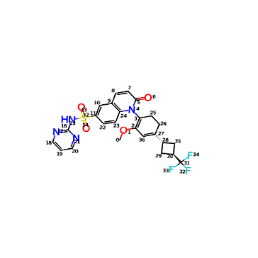 COC1=C(n2c(=O)ccc3cc(S(=O)(=O)Nc4ncccn4)ccc32)CCC([C@H]2C[C@H](C(F)(F)F)C2)=C1